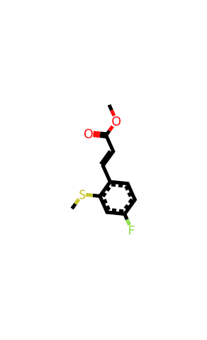 COC(=O)C=Cc1ccc(F)cc1SC